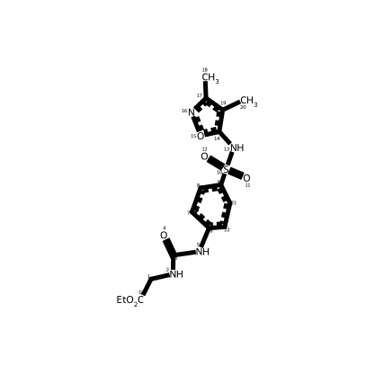 CCOC(=O)CNC(=O)Nc1ccc(S(=O)(=O)Nc2onc(C)c2C)cc1